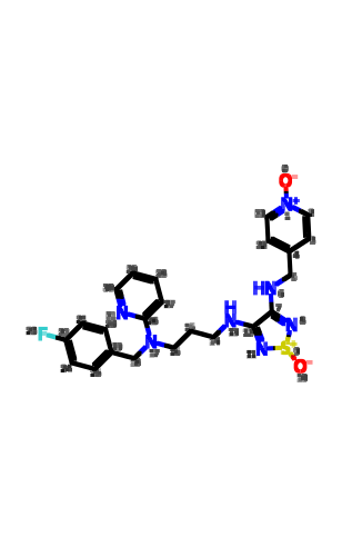 [O-][n+]1ccc(CNc2n[s+]([O-])nc2NCCCN(Cc2ccc(F)cc2)c2ccccn2)cc1